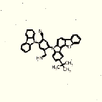 CC(C)(C)c1ccc2c(c1)c1c3oc4ccccc4c3ccc1n2-c1cc(C#N)c(-n2c3ccccc3c3ccccc32)cc1C=N